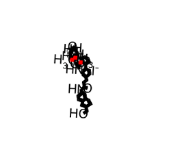 C[N+]1(C)[C@@H]2C[C@@H](OC(=O)Nc3cc(CCC(=O)Nc4ccc5cc(CO)ccc5c4)ccc3-c3ccccc3)C[C@H]1[C@@H]1O[C@@H]12.[I-]